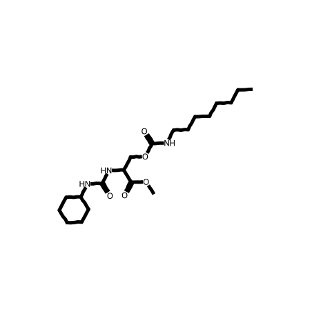 CCCCCCCCNC(=O)OCC(NC(=O)NC1CCCCC1)C(=O)OC